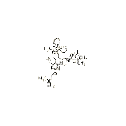 CN(C)CCOc1nc2c(c(N3CCN(C(=O)OC(C)(C)C)C[C@@H]3CCO[Si](c3ccccc3)(c3ccccc3)C(C)(C)C)n1)CCNC2